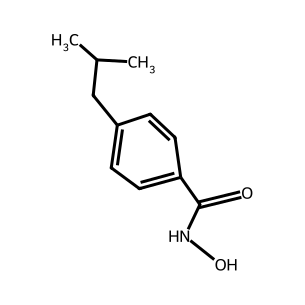 CC(C)Cc1ccc(C(=O)NO)cc1